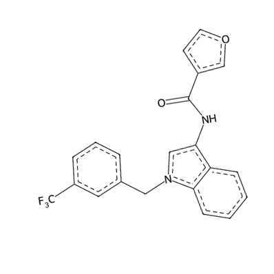 O=C(Nc1cn(Cc2cccc(C(F)(F)F)c2)c2ccccc12)c1ccoc1